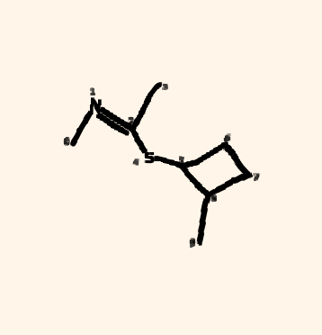 C/N=C(/C)SC1CCC1C